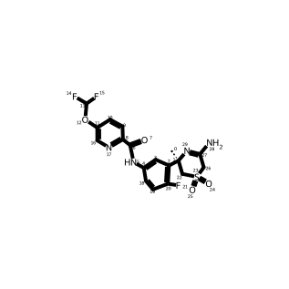 C[C@@]1(c2cc(NC(=O)c3ccc(OC(F)F)cn3)ccc2F)CS(=O)(=O)CC(N)=N1